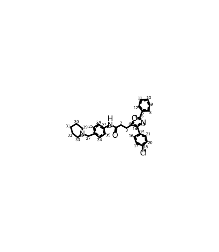 O=C(CCc1oc(-c2ccccc2)nc1-c1ccc(Cl)cc1)Nc1ccc(CN2CCCCC2)cc1